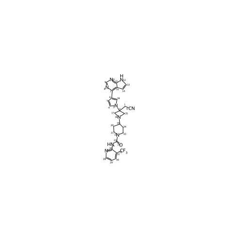 N#CCC1(n2ccc(-c3ncnc4[nH]ccc34)c2)CN(C2CCN(C(=O)Nc3ncccc3C(F)(F)F)CC2)C1